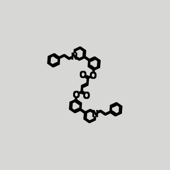 O=C(/C=C/C(=O)Oc1cccc(C2=CCCN(CCc3ccccc3)C2)c1)Oc1cccc(C2=CCCN(CCc3ccccc3)C2)c1